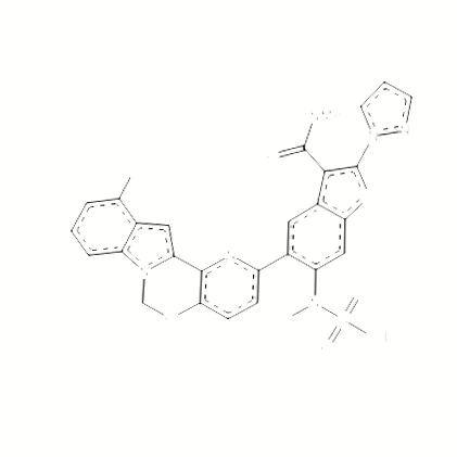 CNC(=O)c1c(-n2cccn2)oc2cc(N(C)S(C)(=O)=O)c(-c3ccc4c(n3)-c3cc5c(F)cccc5n3CO4)cc12